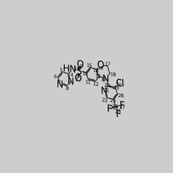 O=S(=O)(Nc1ccncn1)c1ccc2c(c1)OCCN2c1ncc(C(F)(F)F)cc1Cl